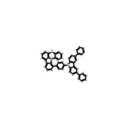 c1ccc(-c2ccc3c(c2)c2cc(-c4ccccc4)ccc2n3-c2ccc(-c3cccc4c5cccc6c5n(c34)-c3ccccc3S6)cc2)cc1